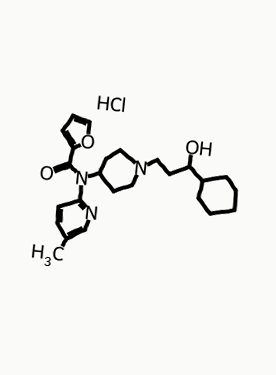 Cc1ccc(N(C(=O)c2ccco2)C2CCN(CCC(O)C3CCCCC3)CC2)nc1.Cl